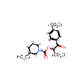 CCOC(=O)c1ccc(C(=O)C(OC(=O)N2CCCC(C(=O)O)C2)C(=O)OCC)cc1